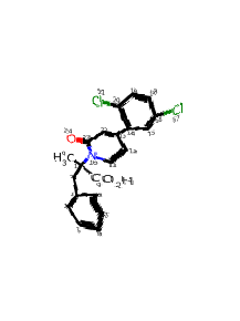 C[C@](Cc1ccccc1)(C(=O)O)n1ccc(-c2cc(Cl)ccc2Cl)cc1=O